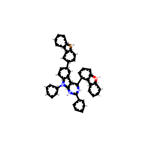 c1ccc(-c2nc(-c3cccc4oc5ccccc5c34)c3c4cc(-c5ccc6sc7ccccc7c6c5)ccc4n(-c4ccccc4)c3n2)cc1